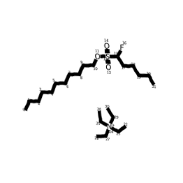 CCCCCCCCCCCOS(=O)(=O)C(F)CCCCC.CC[N+](CC)(CC)CC